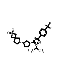 CC(C)n1nc(-c2ccc(C(F)(F)F)cc2)nc1[C@H]1CC[C@H](N2CCC3(C2)CS(=O)(=O)C3)C1